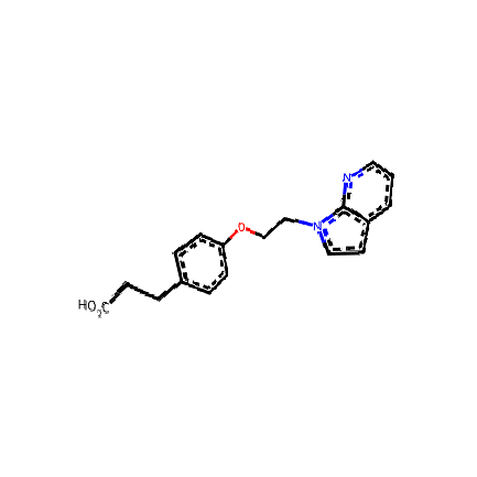 O=C(O)CCc1ccc(OCCn2ccc3cccnc32)cc1